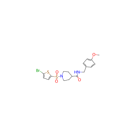 COc1ccc(CNC(=O)C2CCN(S(=O)(=O)c3ccc(Br)s3)CC2)cc1